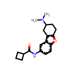 CN(C)C1CCc2oc3ccc(NC(=O)C4CCC4)cc3c2C1